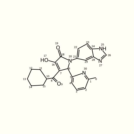 Cc1cccc(C2C(C(=O)C3CCCCC3)=C(O)C(=O)N2c2ccc3[nH]cnc3c2)n1